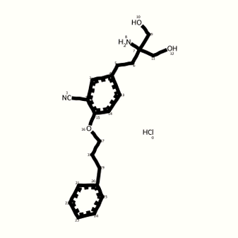 Cl.N#Cc1cc(CCC(N)(CO)CO)ccc1OCCCc1ccccc1